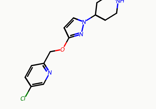 Clc1ccc(COc2ccn(C3CCNCC3)n2)nc1